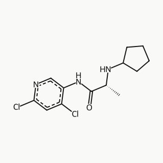 C[C@@H](NC1CCCC1)C(=O)Nc1cnc(Cl)cc1Cl